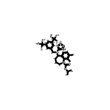 Cc1ccc2c(c1C)N(C(=O)OC(C)C)CCCC2N(Cc1cc(C(F)(F)F)cc(C(F)(F)F)c1)c1nnn[nH]1